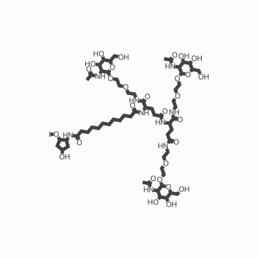 CC(=O)NC1C(OCCOCCNC(=O)CCC(NC(=O)CCC(NC(=O)CCCCCCCCCCC(=O)NC2CC(O)CC2OI)C(=O)NCCOCCOC2OC(CO)C(O)C(O)C2NC(C)=O)C(=O)NCCOCCOC2OC(CO)C(O)C(O)C2NC(C)=O)OC(CO)C(O)C1O